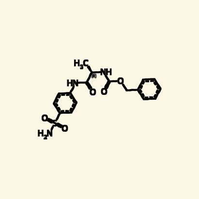 C[C@@H](NC(=O)OCc1ccccc1)C(=O)Nc1ccc(S(N)(=O)=O)cc1